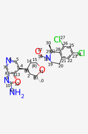 C[C@@H]1C[C@@H](c2cncc3nc(N)oc23)C[C@H](C(=O)N2CCc3cc(Cl)cc(Cl)c3[C@@H]2C)O1